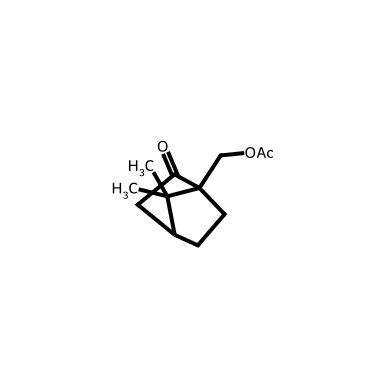 CC(=O)OCC12CCC(CC1=O)C2(C)C